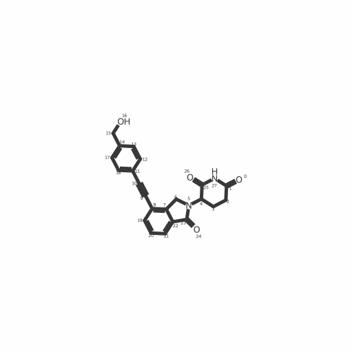 O=C1CCC(N2Cc3c(C#Cc4ccc(CO)cc4)cccc3C2=O)C(=O)N1